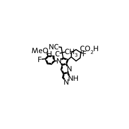 COc1cc(-n2c(C(C)(C)CC#N)c(C3CCC(F)(C(=O)O)CC3)c3nc4[nH]ncc4cc32)ccc1F